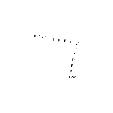 [F-].[F-].[F-].[F-].[F-].[F-].[F-].[F-].[F-].[F-].[Ho+3].[Li+].[Tm+3].[Y+3]